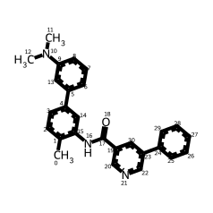 Cc1ccc(-c2cccc(N(C)C)c2)cc1NC(=O)c1cncc(-c2ccccc2)c1